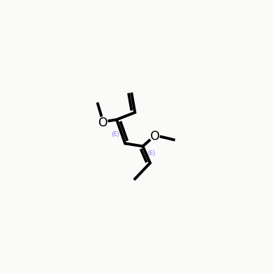 C=C/C(=C\C(=C/C)OC)OC